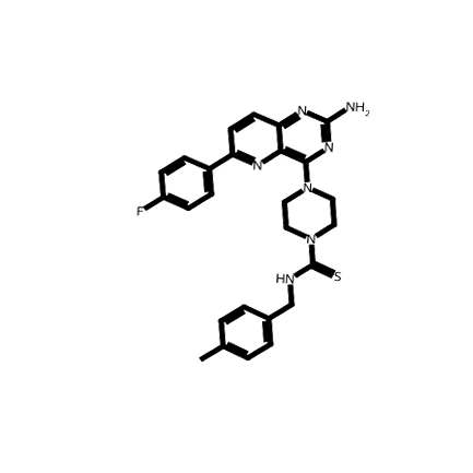 Cc1ccc(CNC(=S)N2CCN(c3nc(N)nc4ccc(-c5ccc(F)cc5)nc34)CC2)cc1